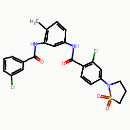 Cc1ccc(NC(=O)c2ccc(N3CCCS3(=O)=O)cc2Cl)cc1NC(=O)c1cccc(Cl)c1